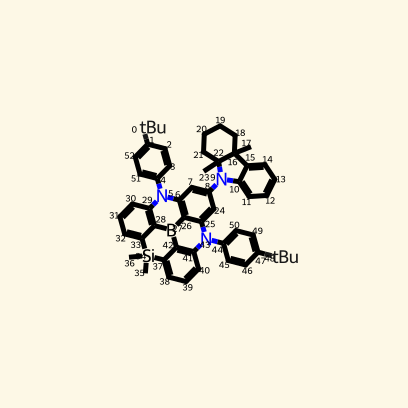 CC(C)(C)c1ccc(N2c3cc(N4c5ccccc5C5(C)CCCCC45C)cc4c3B3c5c2cccc5[Si](C)(C)c2cccc(c23)N4c2ccc(C(C)(C)C)cc2)cc1